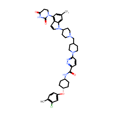 N#Cc1ccc(O[C@H]2CC[C@H](NC(=O)c3ccc(N4CCC(CN5CCC(n6ccc7c(N8CCC(=O)NC8=O)cc(C(F)(F)F)cc76)CC5)CC4)nn3)CC2)cc1Cl